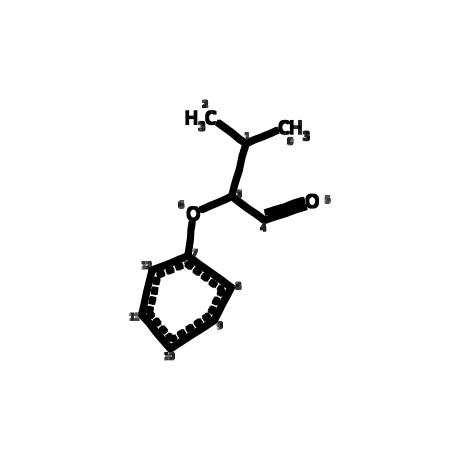 CC(C)C(C=O)Oc1ccccc1